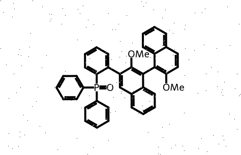 COc1ccc2ccccc2c1-c1c(OC)c(-c2ccccc2P(=O)(c2ccccc2)c2ccccc2)cc2ccccc12